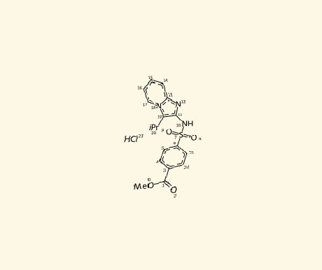 COC(=O)c1ccc(S(=O)(=O)Nc2nc3ccccn3c2C(C)C)cc1.Cl